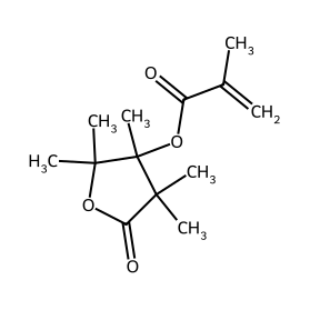 C=C(C)C(=O)OC1(C)C(C)(C)OC(=O)C1(C)C